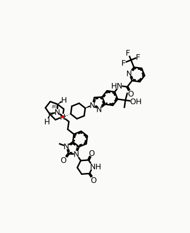 Cn1c(=O)n(C2CCC(=O)NC2=O)c2cccc(CCN3C[C@H]4CC[C@@H](C3)N4C[C@H]3CC[C@H](n4cc5cc(NC(=O)c6cccc(C(F)(F)F)n6)c(C(C)(C)O)cc5n4)CC3)c21